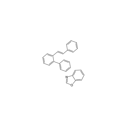 C(=Cc1ccccc1-c1ccccc1)c1ccccc1.c1ccc2ocnc2c1